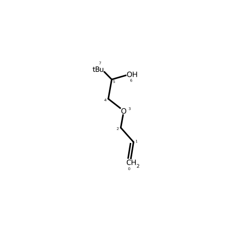 C=CCOCC(O)C(C)(C)C